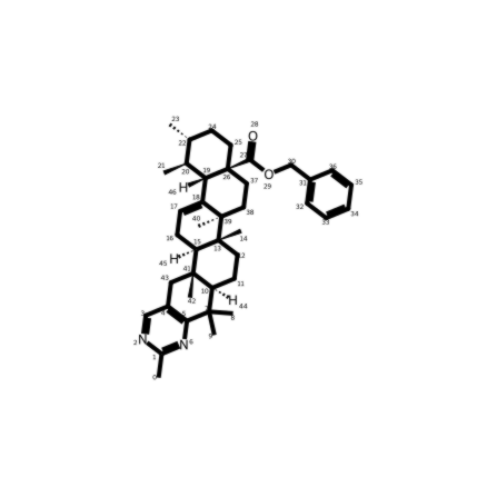 Cc1ncc2c(n1)C(C)(C)[C@@H]1CC[C@]3(C)[C@H](CC=C4[C@@H]5[C@@H](C)[C@H](C)CC[C@]5(C(=O)OCc5ccccc5)CC[C@]43C)[C@@]1(C)C2